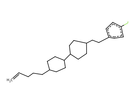 C=CCCCC1CCC(C2CCC(CCc3ccc(F)cc3)CC2)CC1